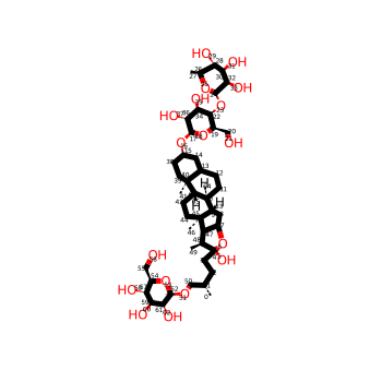 C[C@@H](CC[C@@]1(O)OC2C[C@H]3[C@@H]4CCC5C[C@@H](O[C@@H]6O[C@H](CO)[C@@H](O[C@@H]7O[C@@H](C)[C@H](O)[C@@H](O)[C@H]7O)[C@H](O)[C@H]6O)CC[C@]5(C)[C@H]4CC[C@]3(C)C2[C@@H]1C)CO[C@@H]1O[C@H](CO)[C@@H](O)[C@H](O)[C@H]1O